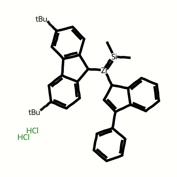 C[Si](C)=[Zr]([CH]1C=C(c2ccccc2)c2ccccc21)[CH]1c2ccc(C(C)(C)C)cc2-c2cc(C(C)(C)C)ccc21.Cl.Cl